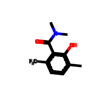 Cc1ccc(C(F)(F)F)c(C(=O)N(C)C)c1O